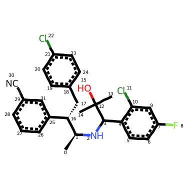 C[C@H](NC(c1ccc(F)cc1Cl)C(C)(C)O)[C@@H](Cc1ccc(Cl)cc1)c1cccc(C#N)c1